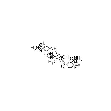 CC(CCSC(=O)c1ccc(C(F)(F)F)c(S(N)(=O)=O)c1)C(=O)N(CC(=O)O)CC1Nc2cc(Cl)c(S(N)(=O)=O)cc2S(=O)(=O)N1